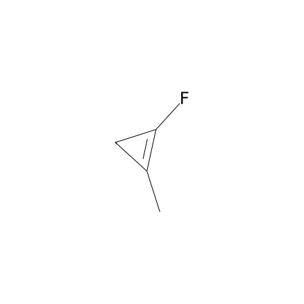 CC1=C(F)C1